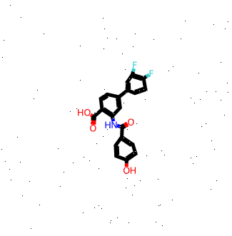 O=C(Nc1cc(-c2ccc(F)c(F)c2)ccc1C(=O)O)c1ccc(O)cc1